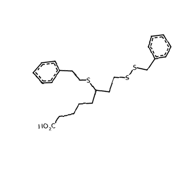 O=C(O)CCCCC(CCSSCc1ccccc1)SCCc1ccccc1